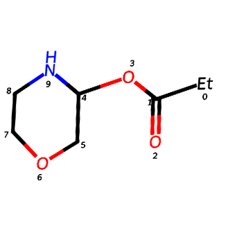 CCC(=O)OC1COCCN1